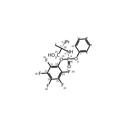 CC(C)[C@](C)(N[P@@](=O)(Oc1ccccc1)Oc1c(F)c(F)c(F)c(F)c1F)C(=O)O